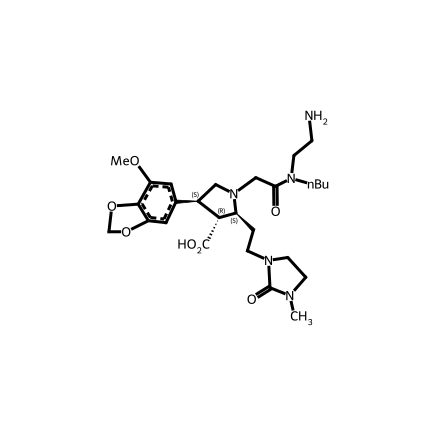 CCCCN(CCN)C(=O)CN1C[C@H](c2cc(OC)c3c(c2)OCO3)[C@@H](C(=O)O)[C@@H]1CCN1CCN(C)C1=O